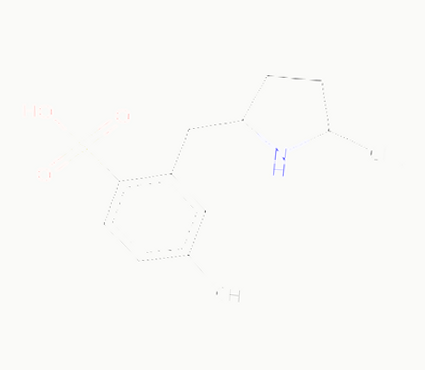 Cc1ccc(S(=O)(=O)O)c(CC2CCC(C)N2)c1